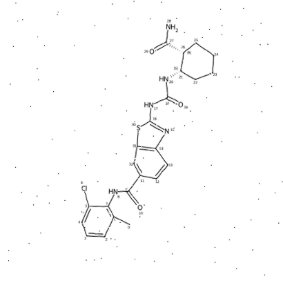 Cc1cccc(Cl)c1NC(=O)c1ccc2nc(NC(=O)N[C@H]3CCCC[C@H]3C(N)=O)sc2c1